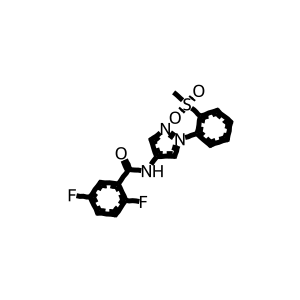 CS(=O)(=O)c1ccccc1-n1cc(NC(=O)c2cc(F)ccc2F)cn1